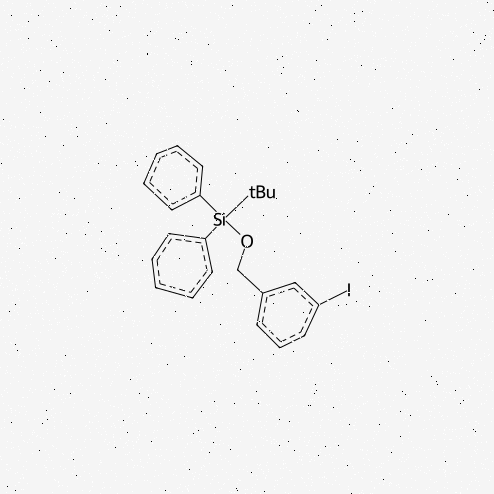 CC(C)(C)[Si](OCc1cccc(I)c1)(c1ccccc1)c1ccccc1